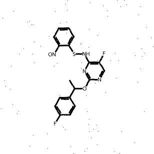 CC(Oc1ncc(F)c(NSc2ccccc2N=O)n1)c1ccc(F)cc1